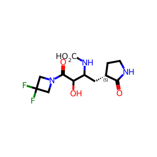 O=C(O)NC(C[C@@H]1CCNC1=O)C(O)C(=O)N1CC(F)(F)C1